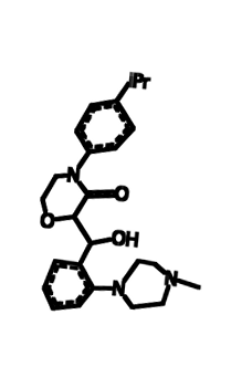 CC(C)c1ccc(N2CCOC(C(O)c3ccccc3N3CCN(C)CC3)C2=O)cc1